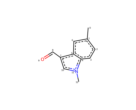 Cc1ccc2c(c1)c(C=O)cn2C